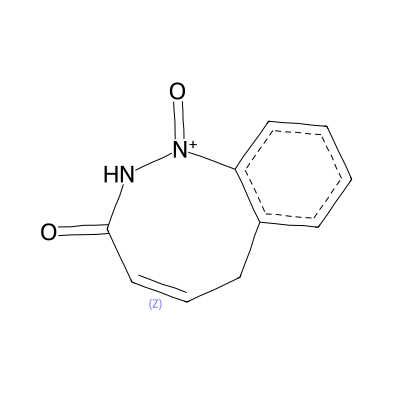 O=C1/C=C\Cc2ccccc2[N+](=O)N1